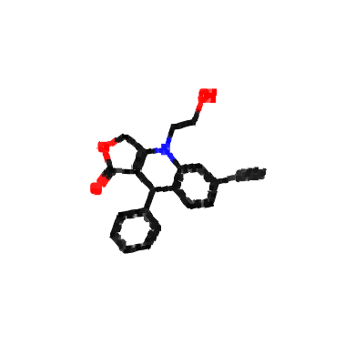 COc1ccc2c(c1)N(CCO)C1=C(C(=O)OC1)C2c1ccccc1